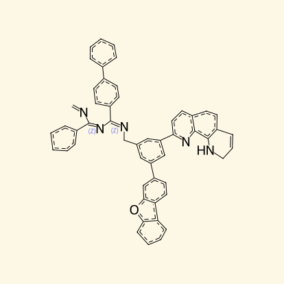 C=N/C(=N\C(=N/Cc1cc(-c2ccc3c(c2)oc2ccccc23)cc(-c2ccc3ccc4c(c3n2)NCC=C4)c1)c1ccc(-c2ccccc2)cc1)c1ccccc1